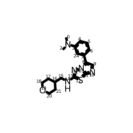 CN(C)c1cccc(-c2cnc3sc(NCC4CCOCC4)nn23)c1